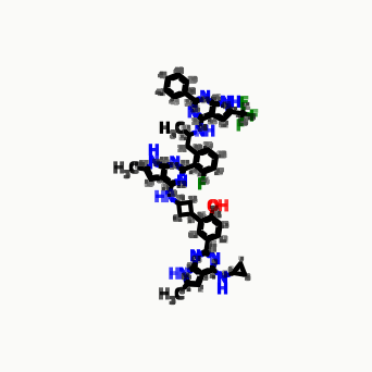 Cc1cc2c(NC3CC3)nc(-c3ccc(O)c(C4CC(Nc5nc(-c6c(F)cccc6CC(C)Nc6nc(-c7ccccc7)nc7[nH]c(C(F)(F)F)cc67)nc6[nH]c(C)cc56)C4)c3)nc2[nH]1